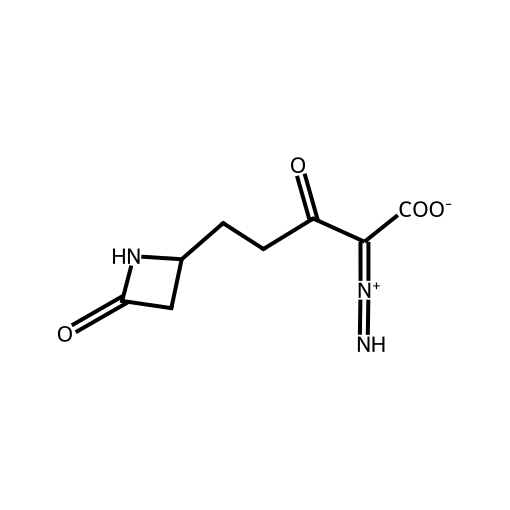 N=[N+]=C(C(=O)[O-])C(=O)CCC1CC(=O)N1